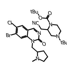 CC(C)(C)OC(=O)N1CCN(C(C)(C)C)CC1CC#N.CN1CCCC1Cn1c(=O)ncc2cc(Cl)c(Br)cc21